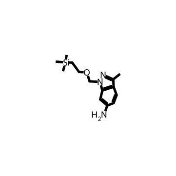 Cc1nn(COCC[Si](C)(C)C)c2cc(N)ccc12